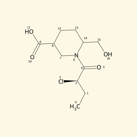 CC[C@@H](Cl)C(=O)N1CC(C(=O)O)CCC1CO